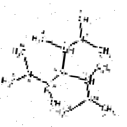 CN(C)[SiH](C)N([SiH](C)N(C)C)[SH](C)N(C)C